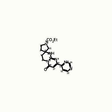 CCOC(=O)N1CCC2(CCn3c(nc(-c4ccncn4)cc3=O)N2)C1